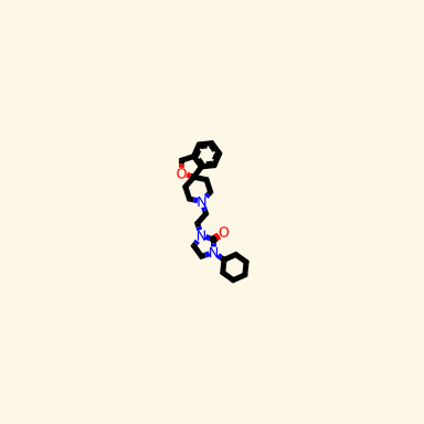 O=C1N(CCN2CCC3(CC2)OCc2ccccc23)CCN1C1CCCCC1